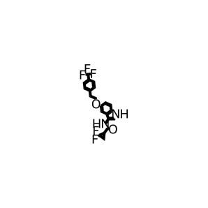 O=C(Nc1c[nH]c2ccc(OCCc3ccc(C(F)(F)F)cc3)cc12)C1CC1(F)F